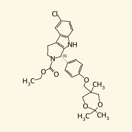 CCOC(=O)N1CCc2c([nH]c3ccc(Cl)cc23)[C@@H]1c1ccc(OCC2(C)COC(C)(C)OC2)cc1